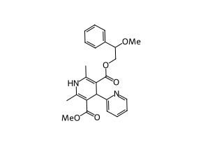 COC(=O)C1=C(C)NC(C)=C(C(=O)OCC(OC)c2ccccc2)C1c1ccccn1